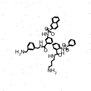 NCCCCNC(=O)c1ccccc1NS(=O)(=O)c1ccccc1.NCc1cccc(CNC(=O)c2cccc(NS(=O)(=O)c3ccc4ccccc4c3)c2)c1